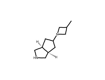 CC1CN(C2C[C@H]3CNC[C@H]3C2)C1